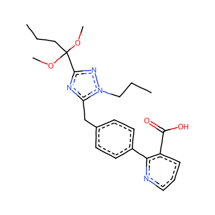 CCCn1nc(C(CCC)(OC)OC)nc1Cc1ccc(-c2ncccc2C(=O)O)cc1